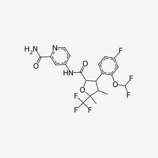 CC1C(c2ccc(F)cc2OC(F)F)C(C(=O)Nc2ccnc(C(N)=O)c2)OC1(C)C(F)(F)F